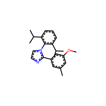 COc1cc(C)cc(-c2nccn2-c2c(C(C)C)cccc2C(C)C)c1